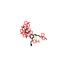 C#CCC(O)c1ccc(O[C@@H]2O[C@H](COC(C)=O)[C@H](OC(C)=O)[C@H](OC(C)=O)[C@H]2OC(C)=O)c2cc(CCC(=O)OCC)sc12